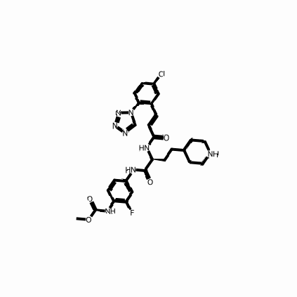 COC(=O)Nc1ccc(NC(=O)[C@H](CCC2CCNCC2)NC(=O)C=Cc2cc(Cl)ccc2-n2cnnn2)cc1F